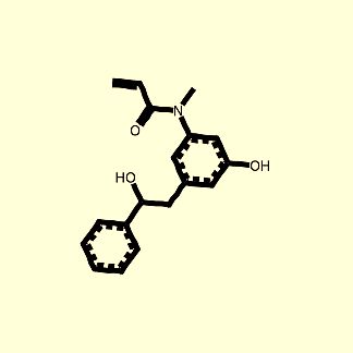 C=CC(=O)N(C)c1cc(O)cc(CC(O)c2ccccc2)c1